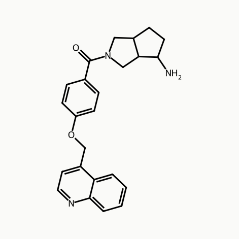 NC1CCC2CN(C(=O)c3ccc(OCc4ccnc5ccccc45)cc3)CC12